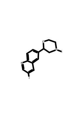 Ic1cnc2ccc(C3CN(I)CCO3)cc2c1